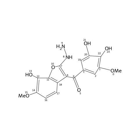 COc1cc(C(=O)c2c(NN)oc3c(O)c(OC)ccc23)cc(O)c1O